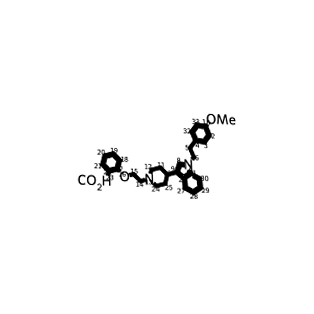 COc1ccc(CCn2cc(C3CCN(CCOc4ccccc4C(=O)O)CC3)c3ccccc32)cc1